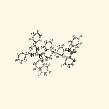 c1ccc(-c2nc(-c3ccccc3)nc(-n3c4ccc5ccccc5c4c4cc(-c5ccc(-n6c(-c7ccccn7)nc7ccccc76)cc5)c5ccccc5c43)n2)cc1